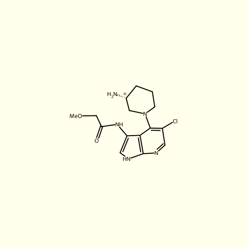 COCC(=O)Nc1c[nH]c2ncc(Cl)c(N3CCC[C@@H](N)C3)c12